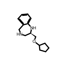 c1ccc2c(c1)CNC[C@H](COC1CCCC1)N2